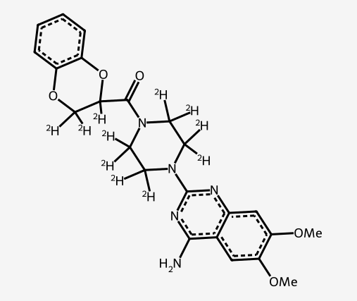 [2H]C1([2H])Oc2ccccc2OC1([2H])C(=O)N1C([2H])([2H])C([2H])([2H])N(c2nc(N)c3cc(OC)c(OC)cc3n2)C([2H])([2H])C1([2H])[2H]